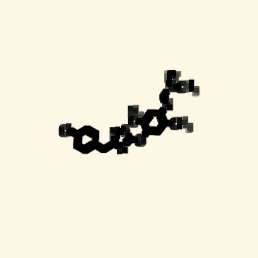 Cc1cc(Oc2nc(Cc3ccc(Cl)cc3)ns2)c(C)cc1N=CN(C)C(C)C